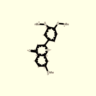 CCCCOc1ccc(-c2cc(=O)c3ccc(OC)cc3o2)cc1OCCCC